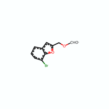 O=[C]OCc1cc2cccc(Br)c2o1